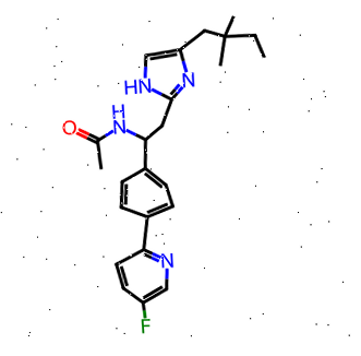 CCC(C)(C)Cc1c[nH]c(CC(NC(C)=O)c2ccc(-c3ccc(F)cn3)cc2)n1